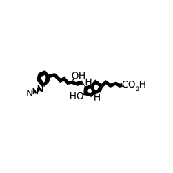 [N-]=[N+]=Nc1cccc(CCCC[C@H](O)/C=C/[C@@H]2[C@H]3CC(CCCCC(=O)O)=C[C@H]3C[C@H]2O)c1